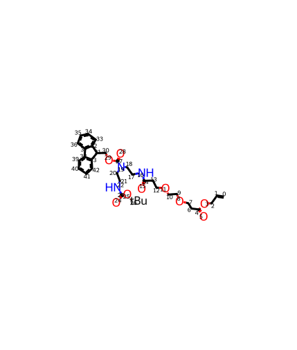 C=CCOC(=O)CCOCCOCCC(=O)NCCN(CCNC(=O)OC(C)(C)C)C(=O)OCC1c2ccccc2-c2ccccc21